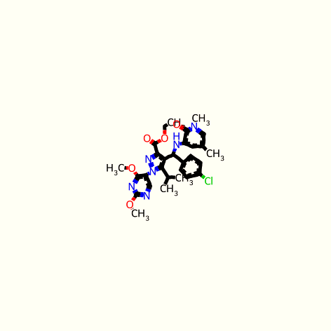 CCOC(=O)c1nn(-c2cnc(OC)nc2OC)c(C(C)C)c1C(Nc1cc(C)cn(C)c1=O)c1ccc(Cl)cc1